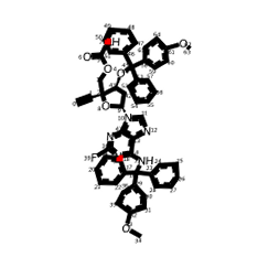 C#C[C@]1(COC(=O)O)O[C@@H](n2cnc3c(NC(c4ccccc4)(c4ccccc4)c4ccc(OC)cc4)nc(F)nc32)C[C@@H]1OC(c1ccccc1)(c1ccccc1)c1ccc(OC)cc1